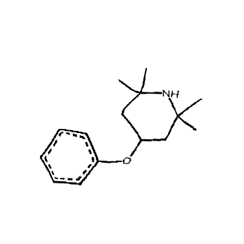 CC1(C)CC(Oc2ccccc2)CC(C)(C)N1